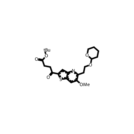 COc1cc2sc(C(=O)CCC(=O)OC(C)(C)C)cc2nc1CCOC1CCCCO1